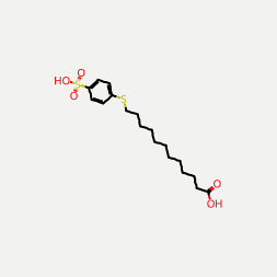 O=C(O)CCCCCCCCCCCSc1ccc(S(=O)(=O)O)cc1